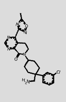 Cc1nc(-c2ncnc3c2CCN(C2CCC(CN)(c4cccc(Cl)c4)CC2)C3=O)no1